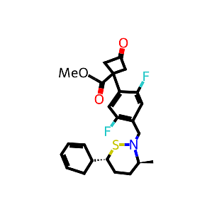 COC(=O)C1(c2cc(F)c(CN3S[C@@H](C4C=CC=CC4)CC[C@@H]3C)cc2F)CC(=O)C1